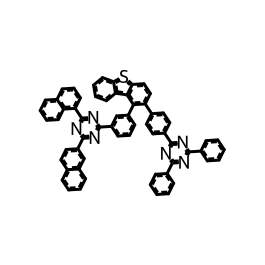 c1ccc(-c2nc(-c3ccccc3)nc(-c3ccc(-c4ccc5sc6ccccc6c5c4-c4cccc(-c5nc(-c6ccc7ccccc7c6)nc(-c6cccc7ccccc67)n5)c4)cc3)n2)cc1